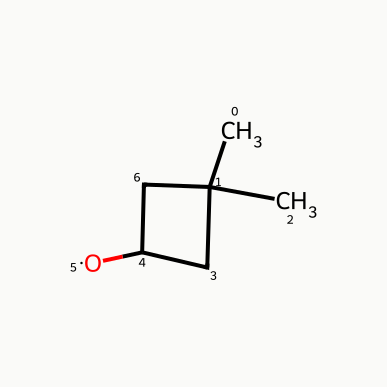 CC1(C)CC([O])C1